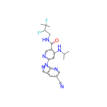 CC(C)Nc1cc(-n2ncc3cc(C#N)cnc32)ncc1C(=O)NC[C@@H](F)C(C)(C)F